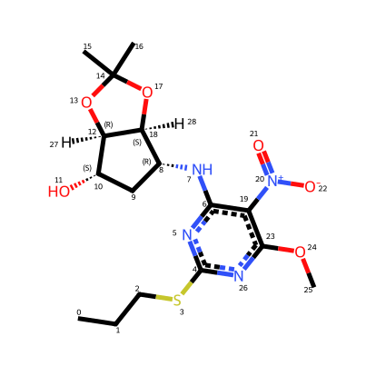 CCCSc1nc(N[C@@H]2C[C@H](O)[C@H]3OC(C)(C)O[C@H]32)c([N+](=O)[O-])c(OC)n1